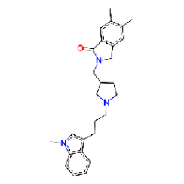 Cc1cc2c(cc1C)C(=O)N(CC1CCN(CCCc3cn(C)c4ccccc34)C1)C2